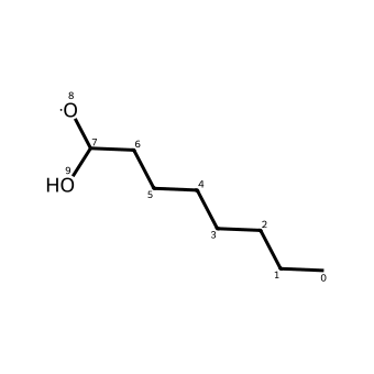 CCCCCCCC([O])O